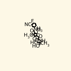 C#C[C@](C)(CO)NC(=O)C(=O)c1c(C)c(C(=O)Nc2ccc(F)c(C#N)c2)n(C)c1C